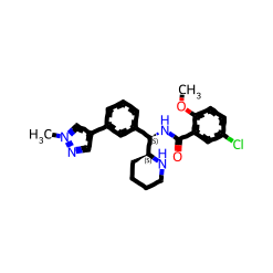 COc1ccc(Cl)cc1C(=O)N[C@@H](c1cccc(-c2cnn(C)c2)c1)[C@@H]1CCCCN1